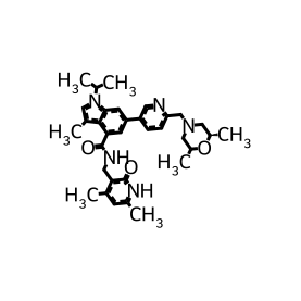 Cc1cc(C)c(CNC(=O)c2cc(-c3ccc(CN4CC(C)O[C@H](C)C4)nc3)cc3c2c(C)cn3C(C)C)c(=O)[nH]1